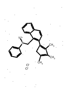 CC1=C(C)C(C)=C(c2ccc3ccccc3c2C[N]([Ti+2])c2ccccc2)C1.[Cl-].[Cl-]